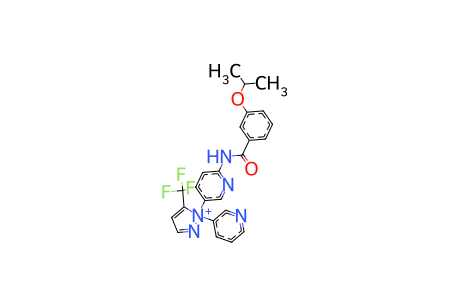 CC(C)Oc1cccc(C(=O)Nc2ccc([N+]3(c4cccnc4)N=CC=C3C(F)(F)F)cn2)c1